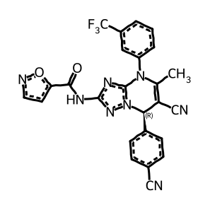 CC1=C(C#N)[C@@H](c2ccc(C#N)cc2)n2nc(NC(=O)c3ccno3)nc2N1c1cccc(C(F)(F)F)c1